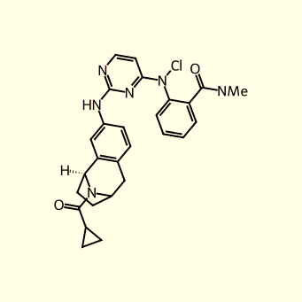 CNC(=O)c1ccccc1N(Cl)c1ccnc(Nc2ccc3c(c2)[C@@H]2CCC(C3)N2C(=O)C2CC2)n1